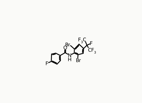 O=C(Nc1c(Br)cc(C(F)(C(F)(F)F)C(F)(F)F)cc1Br)c1ccc(F)cc1